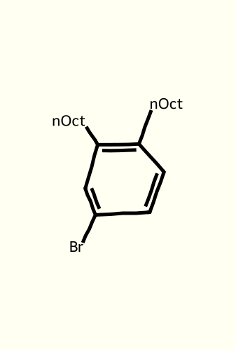 CCCCCCCCc1ccc(Br)cc1CCCCCCCC